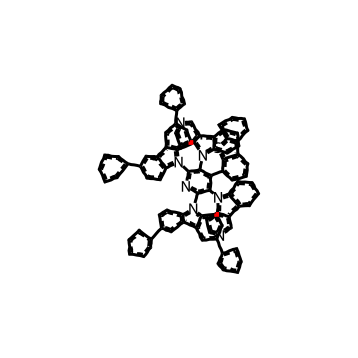 c1ccc(-c2ccc3c(c2)c2cc(-c4ccccc4)ccc2n3-c2nc(-n3c4ccc(-c5ccccc5)cc4c4cc(-c5ccccc5)ccc43)c(-n3c4ccccc4c4cnccc43)c(-c3cccc4c3sc3ccccc34)c2-n2c3ccccc3c3cnccc32)cc1